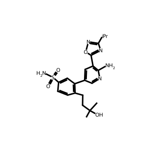 CC(C)c1noc(-c2cc(-c3cc(S(N)(=O)=O)ccc3CCC(C)(C)O)cnc2N)n1